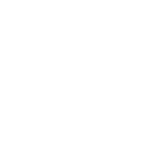 C1=CC2=C(C=CC2)CC1